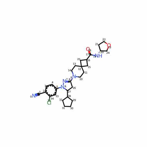 N#Cc1ccc(N2N=C(N3CCC4(CC3)CC(C(=O)N[C@@H]3CCOC3)C4)CC2C2CCCC2)cc1Cl